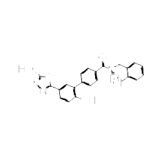 CCN(Cc1ccccc1Cl)C(=O)c1ccc(-c2cc(-c3nnc(C)o3)ccc2C)cc1